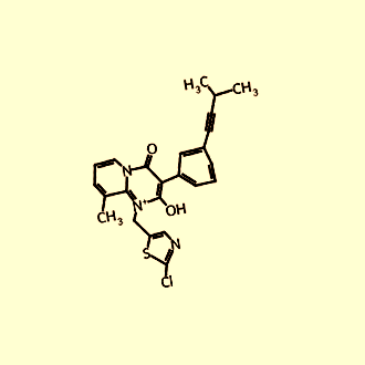 Cc1cccn2c(=O)c(-c3cccc(C#CC(C)C)c3)c(O)[n+](Cc3cnc(Cl)s3)c12